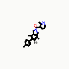 CCc1c(C)c2c(c(C)c1-c1ccc(C)cc1)CN(C(=O)c1cccnc1C)C2